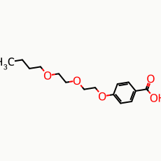 CCCCOCCOCCOc1ccc(C(=O)O)cc1